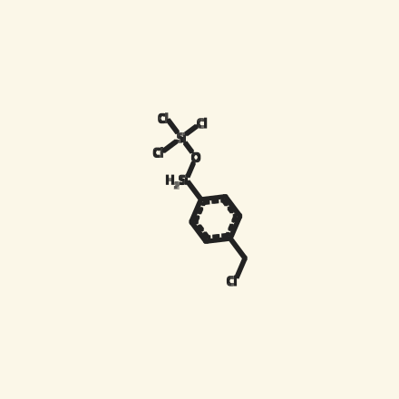 ClCc1ccc([SiH2]O[Si](Cl)(Cl)Cl)cc1